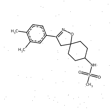 Cc1ccc(C2=NOC3(CCC(NS(C)(=O)=O)CC3)C2)cc1C